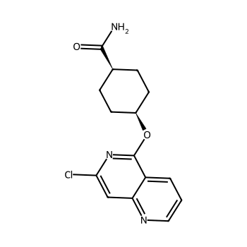 NC(=O)[C@H]1CC[C@@H](Oc2nc(Cl)cc3ncccc23)CC1